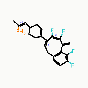 C=C1/C(F)=C(F)\C(C2=CCC(/C=C(/C)P)CC2)=C/Cc2ccc(F)c(F)c21